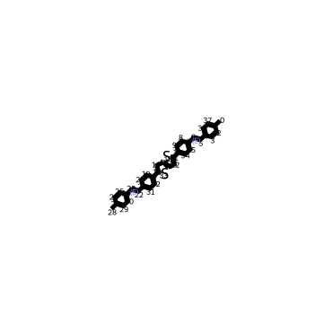 Cc1ccc(/C=C/c2ccc(-c3cc4c(s3)CC(c3ccc(/C=C/c5ccc(C)cc5)cc3)S4)cc2)cc1